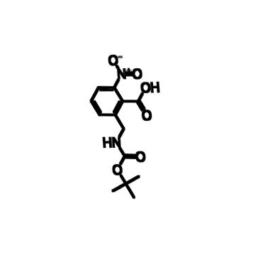 CC(C)(C)OC(=O)NCc1cccc([N+](=O)[O-])c1C(=O)O